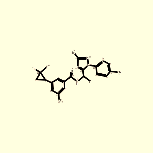 CC(NC(=O)c1cc(C2CC2(F)F)cc(C(F)(F)F)c1)c1nc(Br)nn1-c1ccc(C#N)cn1